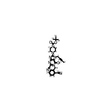 CC#CCn1c(N2CCN(C(=O)OC(C)(C)C)CC2)nc2nc(C#N)n(Cc3ccccc3C#N)c(=O)c21